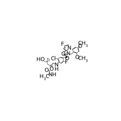 CNC(=O)O[C@H](CNc1cc(F)c(S(=O)(=O)N(Cc2ccc(OC)cc2OC)c2ncc(F)s2)cc1Cl)CC1(CO)CC1